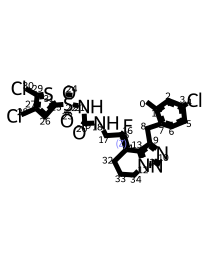 Cc1cc(Cl)ccc1Cc1nnn2c1/C(=C(\F)CNC(=O)NS(=O)(=O)c1cc(Cl)c(Cl)s1)CCC2